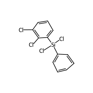 Clc1cccc([Si](Cl)(Cl)c2ccccc2)c1Cl